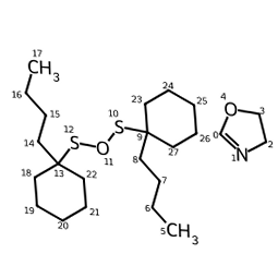 C1=NCCO1.CCCCC1(SOSC2(CCCC)CCCCC2)CCCCC1